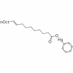 CCCCCCCC/C=C/CCCCCCCC(=O)[O][Hg][c]1ccccc1